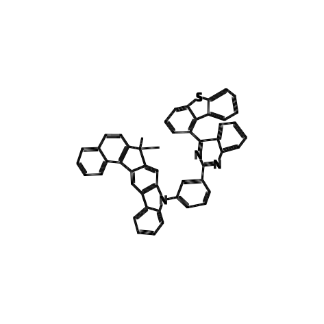 CC1(C)c2cc3c(cc2-c2c1ccc1ccccc21)c1ccccc1n3-c1cccc(-c2nc(-c3cccc4sc5ccccc5c34)c3ccccc3n2)c1